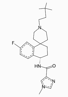 Cn1cnc(C(=O)N[C@H]2CCC3(CCN(CCC(C)(C)C)CC3)c3cc(F)ccc32)c1